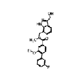 CCOc1cc(C(=O)N(C)Cc2cccc3c(CO)n[nH]c23)ccc1-c1cccc(F)c1